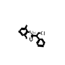 Cc1cccc(C)c1NC(=O)C(CCl)c1ccccc1